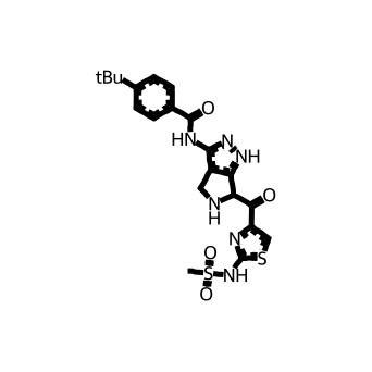 CC(C)(C)c1ccc(C(=O)Nc2n[nH]c3c2CNC3C(=O)c2csc(NS(C)(=O)=O)n2)cc1